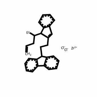 C=CCC(CC)C1C(CCC2c3ccccc3-c3ccccc32)=Cc2ccccc21.[Cl-].[Cl-].[Zr+2]